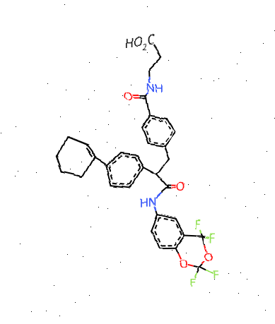 O=C(O)CCNC(=O)c1ccc(CC(C(=O)Nc2ccc3c(c2)C(F)(F)OC(F)(F)O3)c2ccc(C3=CCCCC3)cc2)cc1